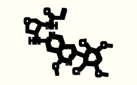 C=CC(=O)NC1COCC1Nc1cc2c(OC)nc(-c3c(Cl)c(OC)cc(OC)c3Cl)cc2cn1